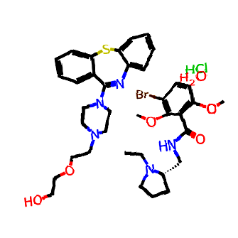 CCN1CCC[C@H]1CNC(=O)c1c(OC)ccc(Br)c1OC.Cl.O.OCCOCCN1CCN(C2=Nc3ccccc3Sc3ccccc32)CC1